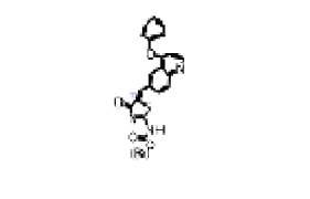 CC(C)(C)OC(=O)NC1=NC(=O)/C(=C/c2ccc3nccc(Oc4ccccc4)c3c2)S1